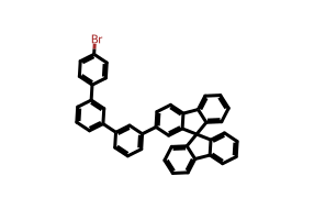 Brc1ccc(-c2cccc(-c3cccc(-c4ccc5c(c4)C4(c6ccccc6-c6ccccc64)c4ccccc4-5)c3)c2)cc1